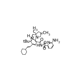 C[C@@H]1CN(c2nc(C(C)(C)C)c(C=CC3CCCCC3)cc2C(=O)NS(=O)(=O)c2cccc(N)n2)C(C)(C)C1